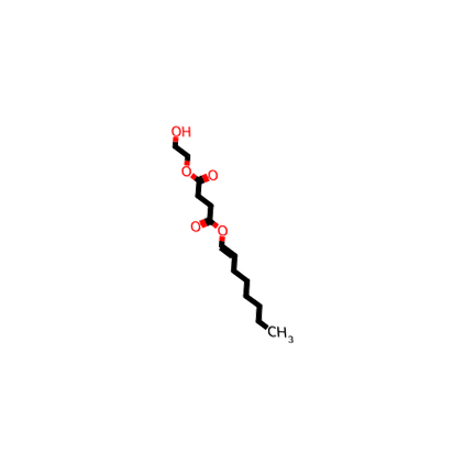 CCCCCCC=COC(=O)CCC(=O)OCCO